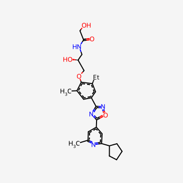 CCc1cc(-c2noc(-c3cc(C)nc(C4CCCC4)c3)n2)cc(C)c1OC[C@@H](O)CNC(=O)CO